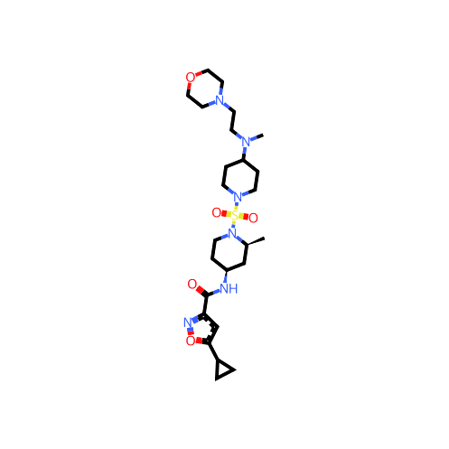 C[C@H]1C[C@@H](NC(=O)c2cc(C3CC3)on2)CCN1S(=O)(=O)N1CCC(N(C)CCN2CCOCC2)CC1